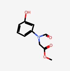 COC(=O)CN(C=O)c1cccc(O)c1